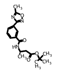 Cc1nc(-c2cccc(C(=O)N[C@H](C)CC(=O)OC(C)(C)C)c2)no1